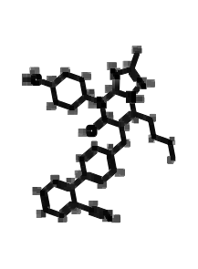 CCCCc1c(Cc2ccc(-c3ccccc3C#N)cc2)c(=O)n(C2CCC(O)CC2)c2nc(C)nn12